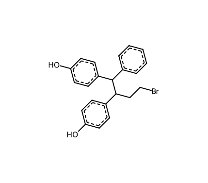 Oc1ccc(C(CCBr)C(c2ccccc2)c2ccc(O)cc2)cc1